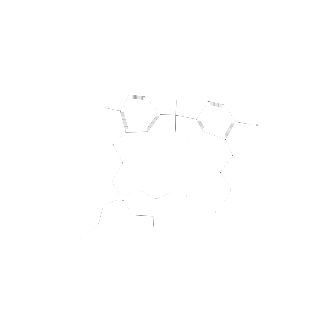 CCCCc1cc(C(C)(C)c2ccc(O)c(CCC[Si](OCC)(OCC)OCC)c2)ccc1O